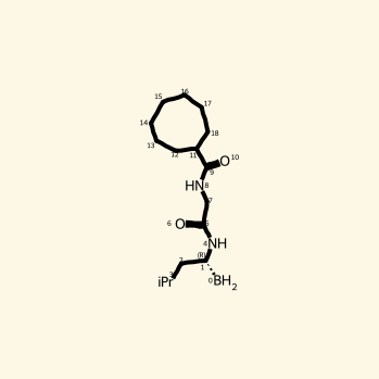 B[C@H](CC(C)C)NC(=O)CNC(=O)C1CCCCCCC1